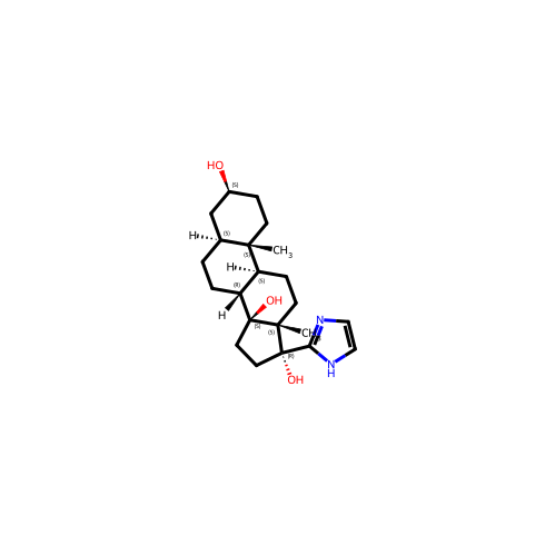 C[C@]12CC[C@H](O)C[C@@H]1CC[C@@H]1[C@@H]2CC[C@]2(C)[C@@](O)(c3ncc[nH]3)CC[C@]12O